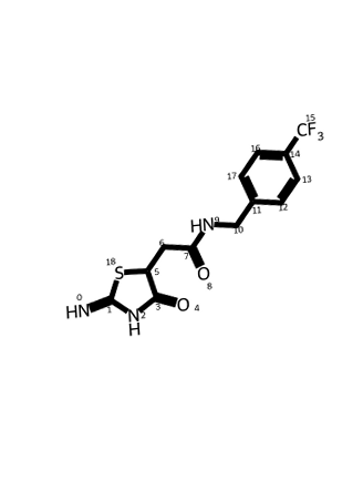 N=C1NC(=O)C(CC(=O)NCc2ccc(C(F)(F)F)cc2)S1